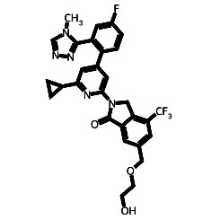 Cn1cnnc1-c1cc(F)ccc1-c1cc(C2CC2)nc(N2Cc3c(cc(COCCO)cc3C(F)(F)F)C2=O)c1